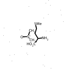 CSCCC(N)C(=O)O.C[S+](C)[O-]